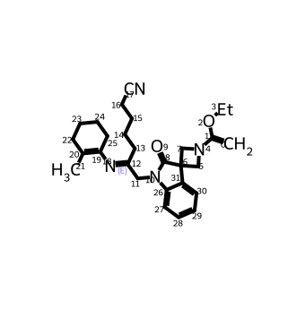 C=C(OCC)N1CC2(C1)C(=O)N(C/C(CCCCC#N)=N/C1=C(C)CCCC1)c1ccccc12